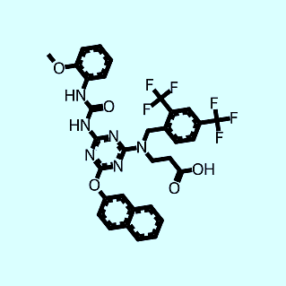 COc1ccccc1NC(=O)Nc1nc(Oc2ccc3ccccc3c2)nc(N(CCC(=O)O)Cc2ccc(C(F)(F)F)cc2C(F)(F)F)n1